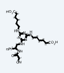 CCCC(CNc1nc(NCCCCCC(=O)O)nc(NCCCCCC(=O)O)n1)NC(=O)CO